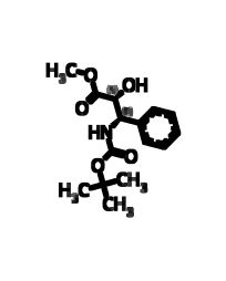 COC(=O)[C@@H](O)[C@H](NC(=O)OC(C)(C)C)c1ccccc1